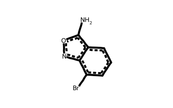 Nc1onc2c(Br)cccc12